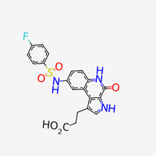 O=C(O)CCc1c[nH]c2c(=O)[nH]c3ccc(NS(=O)(=O)c4ccc(F)cc4)cc3c12